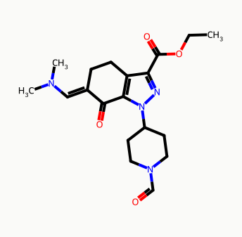 CCOC(=O)c1nn(C2CCN(C=O)CC2)c2c1CCC(=CN(C)C)C2=O